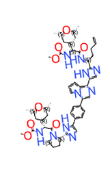 C=CCC[C@H](NC(=O)[C@@H](NC(=O)OC)[C@H]1C[C@@H](C)O[C@@H](C)C1)c1ncc(-c2ncc(-c3ccc(-c4cnc([C@@H]5CC[C@H](C)N5C(=O)C(NC(=O)OC)[C@H]5C[C@@H](C)O[C@@H](C)C5)[nH]4)cc3)n3cccc23)[nH]1